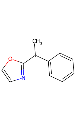 C[C](c1ccccc1)c1ncco1